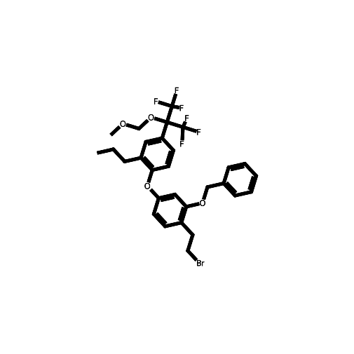 CCCc1cc(C(OCOC)(C(F)(F)F)C(F)(F)F)ccc1Oc1ccc(CCBr)c(OCc2ccccc2)c1